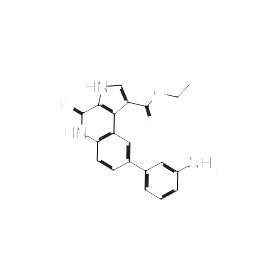 CCOC(=O)c1c[nH]c2c(=O)[nH]c3ccc(-c4cccc(N)c4)cc3c12